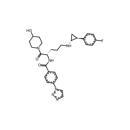 O=C(N[C@@H](CCCN[C@@H]1C[C@H]1c1ccc(F)cc1)C(=O)N1CCC(O)CC1)c1ccc(-n2ccnn2)cc1